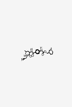 CC(C)CC(NC(=O)c1ccc(NC(=O)OCC2CCCN(C)C2)cc1)C(=O)NCC#N